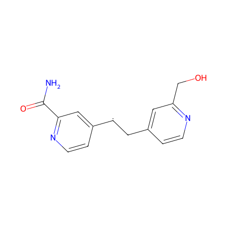 NC(=O)c1cc([CH]Cc2ccnc(CO)c2)ccn1